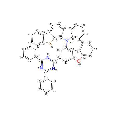 c1ccc(-c2nc(-c3ccccc3)nc(-c3cc(-n4c5ccccc5c5ccc6c7ccccc7sc6c54)c4c(c3)oc3ccccc34)n2)cc1